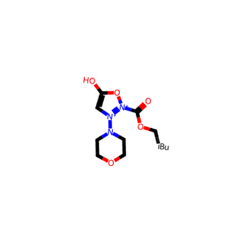 CCC(C)COC(=O)[n+]1oc(O)c[n+]1N1CCOCC1